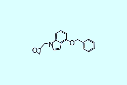 c1ccc(COc2cccc3c2ccn3CC2CO2)cc1